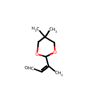 C/C(=C/C=O)C1OCC(C)(C)CO1